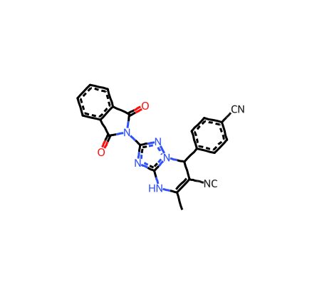 [C-]#[N+]C1=C(C)Nc2nc(N3C(=O)c4ccccc4C3=O)nn2C1c1ccc(C#N)cc1